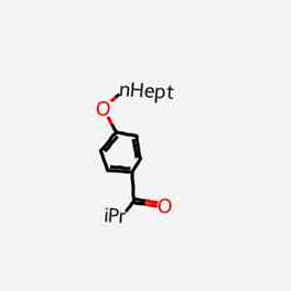 CCCCCCCOc1ccc(C(=O)C(C)C)cc1